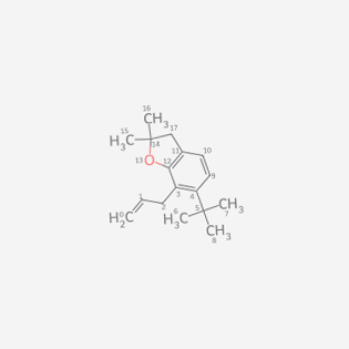 C=CCc1c(C(C)(C)C)ccc2c1OC(C)(C)C2